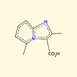 Cc1nc2cccc(C)n2c1C(=O)O